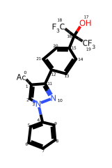 CC(=O)c1cn(-c2ccccc2)nc1-c1ccc(C(O)(C(F)(F)F)C(F)(F)F)cc1